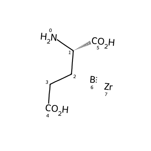 N[C@@H](CCC(=O)O)C(=O)O.[B].[Zr]